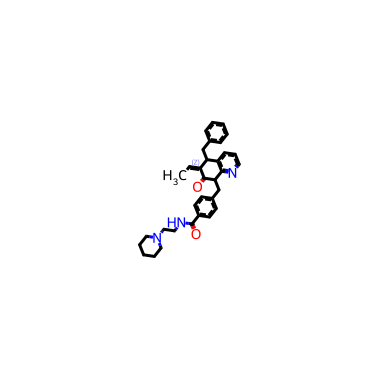 C/C=C1\C(=O)C(Cc2ccc(C(=O)NCCN3CCCCC3)cc2)c2ncccc2C1Cc1ccccc1